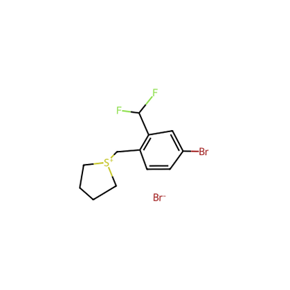 FC(F)c1cc(Br)ccc1C[S+]1CCCC1.[Br-]